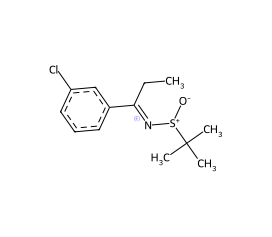 CC/C(=N\[S+]([O-])C(C)(C)C)c1cccc(Cl)c1